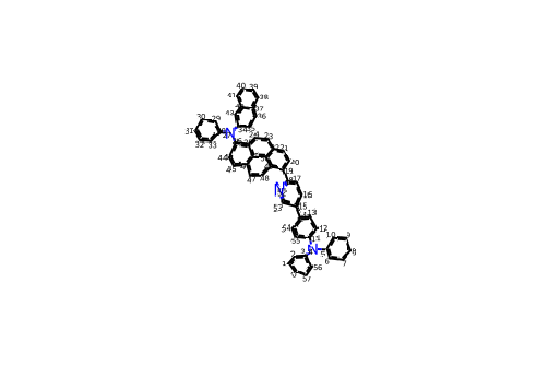 c1ccc(N(c2ccccc2)c2ccc(-c3ccc(-c4ccc5ccc6c(N(c7ccccc7)c7ccc8ccccc8c7)ccc7ccc4c5c76)nc3)cc2)cc1